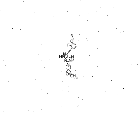 C[C@H]1CC2(CCN(c3nc4[nH]nc(C#Cc5cccc(OCC6CC6)c5F)c4c4nccn34)CC2)CO1